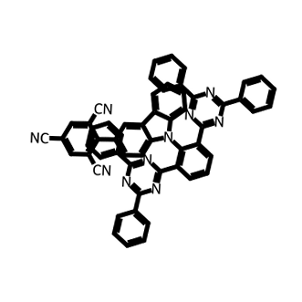 N#Cc1cc(C#N)c(-c2ccc3c(c2)c2ccccc2n3-c2c(-c3nc(-c4ccccc4)nc(-c4ccccc4)n3)cccc2-c2nc(-c3ccccc3)nc(-c3ccccc3)n2)c(C#N)c1